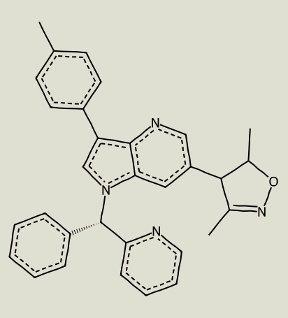 CC1=NOC(C)C1c1cnc2c(-c3ccc(C)cc3)cn([C@@H](c3ccccc3)c3ccccn3)c2c1